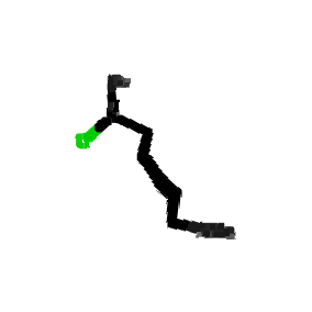 CNCCCC[SiH](Cl)C(C)(C)C